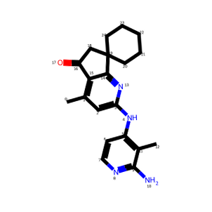 Cc1cc(Nc2ccnc(N)c2C)nc2c1C(=O)CC21CCCCC1